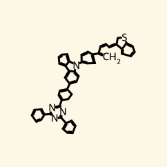 C=C(/C=C\C=C1/CSc2ccccc21)c1ccc(-n2c3ccccc3c3cc(C4=CC=C(c5nc(-c6ccccc6)nc(-c6ccccc6)n5)CC4)ccc32)cc1